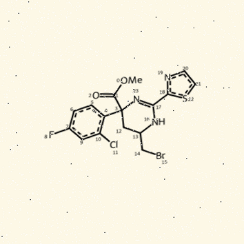 COC(=O)C1(c2ccc(F)cc2Cl)CC(CBr)NC(c2nccs2)=N1